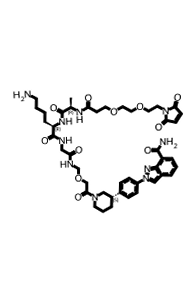 C[C@@H](NC(=O)CCOCCOCCN1C(=O)C=CC1=O)C(=O)N[C@H](CCCCN)C(=O)NCC(=O)NCOCC(=O)N1CCC[C@@H](c2ccc(-n3cc4cccc(C(N)=O)c4n3)cc2)C1